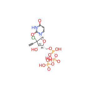 C#CC1(Cl)[C@@H](O)[C@@H](COP(=O)(O)OP(=O)(O)OP(=O)(O)O)O[C@H]1n1ccc(=O)[nH]c1=O